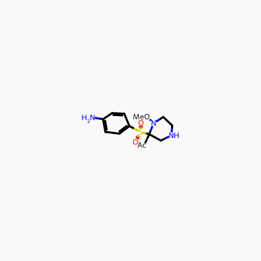 CON1CCNCC1(C(C)=O)S(=O)(=O)c1ccc(N)cc1